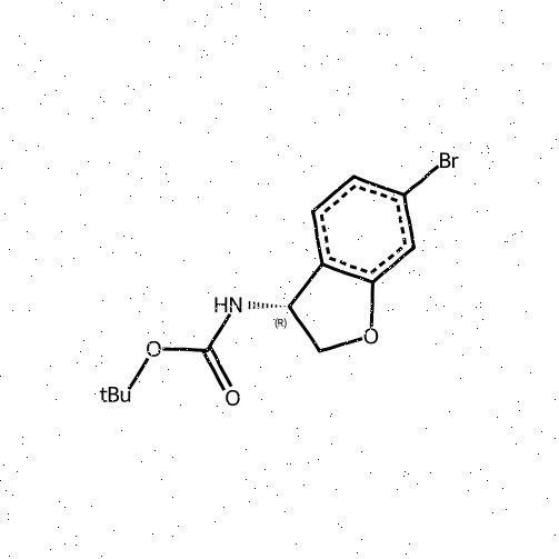 CC(C)(C)OC(=O)N[C@H]1COc2cc(Br)ccc21